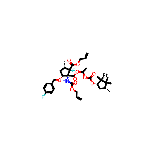 C=CCOC(=O)N[C@@]1(C(=O)OC(C)OC(=O)O[C@H]2C[C@@H](C)C(C)(C)C2(C)CC)[C@H](OCc2ccc(F)cc2)C[C@H](C)[C@]1(F)C(=O)OCC=C